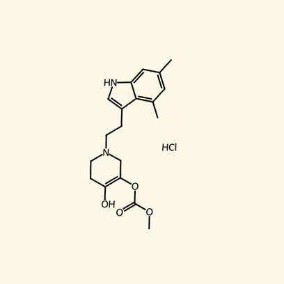 COC(=O)OC1=C(O)CCN(CCc2c[nH]c3cc(C)cc(C)c23)C1.Cl